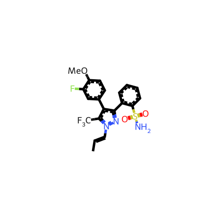 CC=Cn1nc(-c2ccccc2S(N)(=O)=O)c(-c2ccc(OC)c(F)c2)c1C(F)(F)F